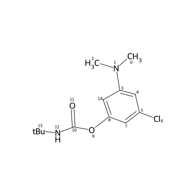 CN(C)c1cc(Cl)cc(OC(=O)NC(C)(C)C)c1